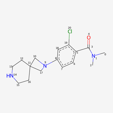 CN(C)C(=O)c1ccc(N2CC3(CCNCC3)C2)cc1Cl